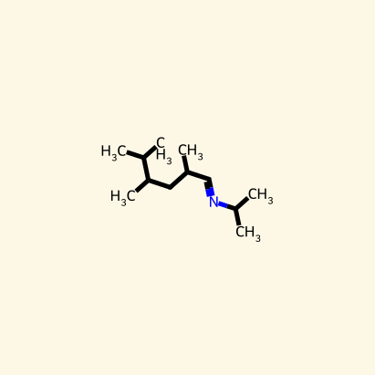 CC(/C=N/C(C)C)CC(C)C(C)C